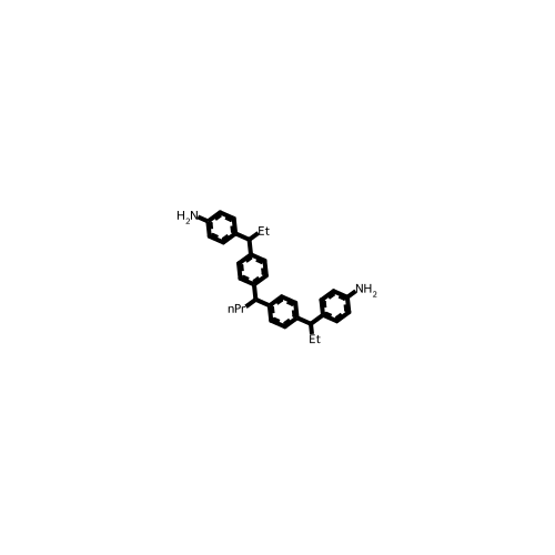 CCCC(c1ccc(C(CC)c2ccc(N)cc2)cc1)c1ccc(C(CC)c2ccc(N)cc2)cc1